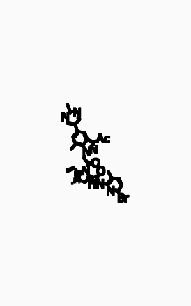 C=C[C@@H]1[C@@H](C)C[C@@H](C(=O)Nc2nc(Br)ccc2C)N1C(=O)Cn1nc(C(C)=O)c2cc(-c3cnc(C)nc3)cc(C)c21